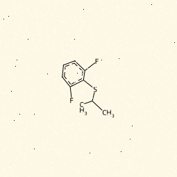 CC(C)Sc1c(F)cccc1F